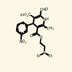 CCOC(=O)C1=C(C=O)NC(C)=C(C(=O)OCCN(CC)CC)C1c1cccc([N+](=O)[O-])c1